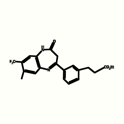 CCOC(=O)CCc1cccc(C2=Nc3cc(C)c(C(F)(F)F)cc3NC(=O)C2)c1